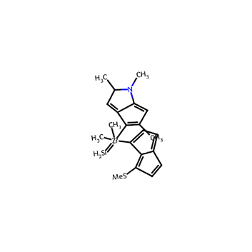 CSC1=C2C(=CC=[C]2[Zr]([CH3])([CH3])(=[SiH2])[C]2=C(C)C=C3C2=CC(C)N3C)C=C1